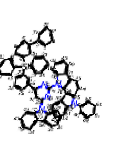 c1ccc(-c2cccc([Si](c3ccccc3)(c3ccccc3)c3cccc(-c4cc(-n5c6ccccc6c6ccccc65)nc(-n5c6ccccc6c6ccc7c(c8ccccc8n7-c7ccccc7)c65)n4)c3)c2)cc1